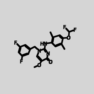 COc1cn(Cc2cc(F)cc(F)c2)c(Nc2cc(C)c(OC(F)F)cc2C)nc1=O